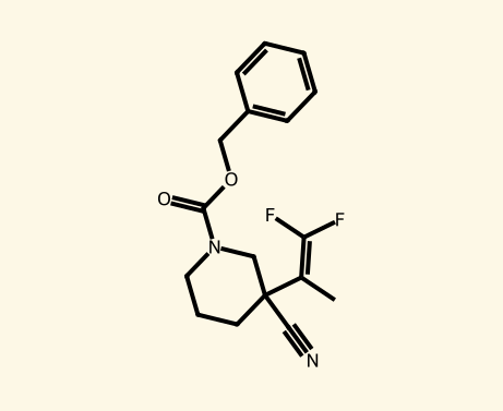 CC(=C(F)F)C1(C#N)CCCN(C(=O)OCc2ccccc2)C1